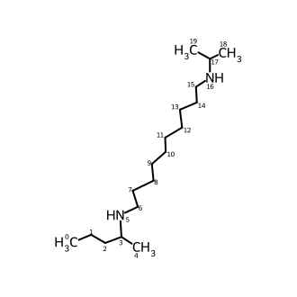 CCCC(C)NCCCCCCCCCCNC(C)C